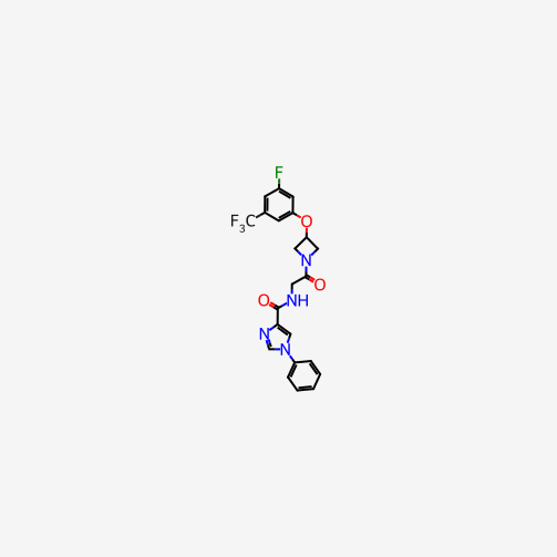 O=C(NCC(=O)N1CC(Oc2cc(F)cc(C(F)(F)F)c2)C1)c1cn(-c2ccccc2)cn1